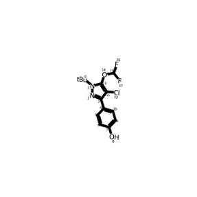 CC(C)(C)n1nc(-c2ccc(O)cc2)c(Cl)c1OC(F)F